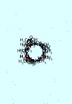 C/C=C/C[C@@H](C)[C@@H](O)[C@H]1C(=O)N[C@@H](CC)C(=O)N(C)CC(=O)N(C)[C@@H](CC(C)C)C(=O)N[C@@H](C(C)C)C(=O)N(C)[C@@H](CC(C)C)C(=O)N[C@@H](C)C(=O)N[C@H](C)C(=O)N(C)[C@@H](CC(C)C)C(=O)N(C)[C@@H](CC(C)C)C(=O)N(C)[C@@H](C(C)C)C(=O)N1C.CC(C)CC(N)C(=O)O